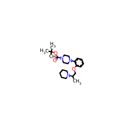 CC(COc1ccccc1N1CCN(C(=O)OC(C)(C)C)CC1)N1CCCCC1